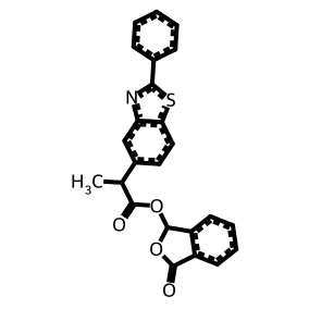 CC(C(=O)OC1OC(=O)c2ccccc21)c1ccc2sc(-c3ccccc3)nc2c1